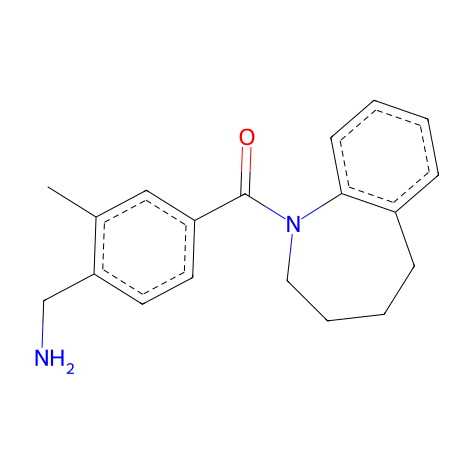 Cc1cc(C(=O)N2CCCCc3ccccc32)ccc1CN